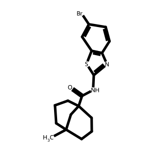 CC12CCCC(C(=O)Nc3nc4ccc(Br)cc4s3)(CCC1)C2